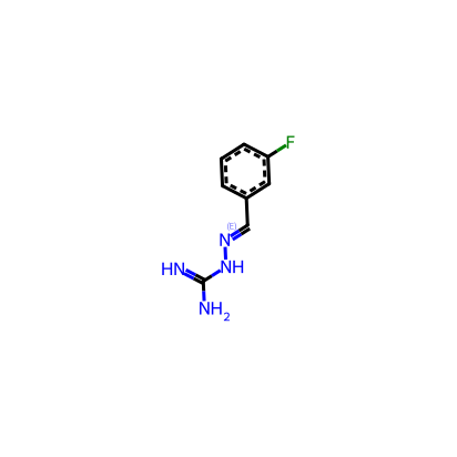 N=C(N)N/N=C/c1cccc(F)c1